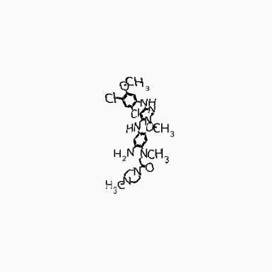 COc1cc(Nc2cc(Nc3cc(N)c(N(C)CC(=O)N4CCN(C)CC4)cc3OC)ncn2)c(Cl)cc1Cl